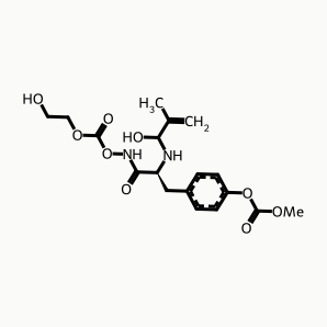 C=C(C)C(O)N[C@@H](Cc1ccc(OC(=O)OC)cc1)C(=O)NOC(=O)OCCO